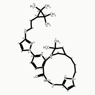 CC1(C)CC2CCCn3ccc(n3)SNC(=O)c3ccc(-n4ccc(OCCC5C(C)(C)C5(C)C)n4)nc3N1C2